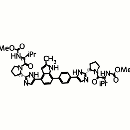 COC(=O)N[C@H](C(=O)N1CCC[C@H]1c1ncc(-c2ccc(-c3ccc(-c4cnc([C@@H]5CCCN5C(=O)[C@@H](NC(=O)OC)C(C)C)[nH]4)c4cc(C)[nH]c34)cc2)[nH]1)C(C)C